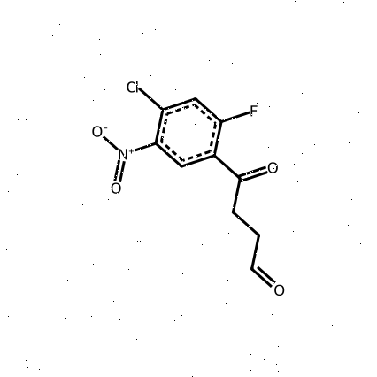 O=CCCC(=O)c1cc([N+](=O)[O-])c(Cl)cc1F